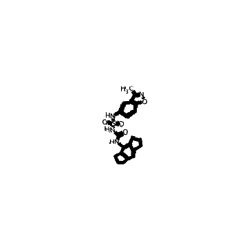 Cc1noc2ccc(NS(=O)(=O)NC(=O)Nc3c4c(cc5c3CCC5)CCC4)cc12